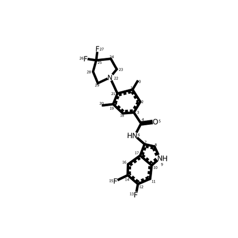 Cc1cc(C(=O)Nc2c[nH]c3cc(F)c(F)cc23)cc(C)c1N1CCC(F)(F)CC1